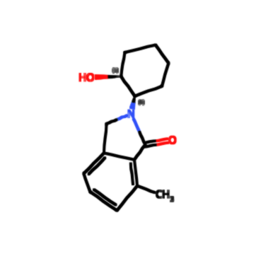 Cc1cccc2c1C(=O)N([C@@H]1CCCC[C@@H]1O)C2